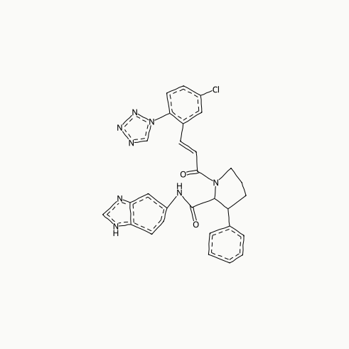 O=C(Nc1ccc2[nH]cnc2c1)C1C(c2ccccc2)CCCN1C(=O)/C=C/c1cc(Cl)ccc1-n1cnnn1